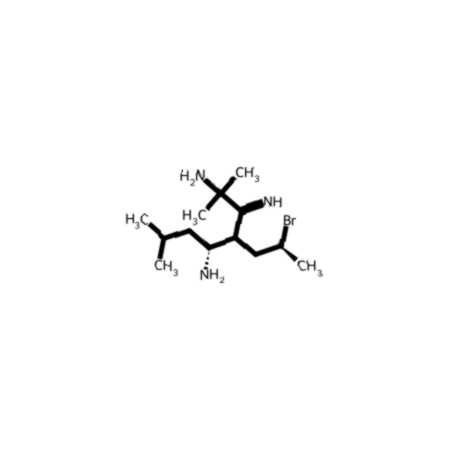 CC(C)C[C@@H](N)C(C[C@H](C)Br)C(=N)C(C)(C)N